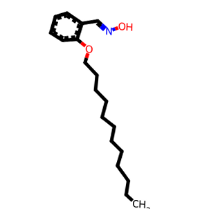 CCCCCCCCCCCCOc1ccccc1C=NO